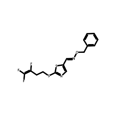 FC(F)=C(F)CCSc1ncc(C=NOCc2ccccc2)s1